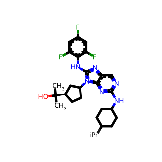 CC(C)C1CCC(Nc2ncc3nc(Nc4c(F)cc(F)cc4F)n(C4CC[C@@H](C(C)(C)O)C4)c3n2)CC1